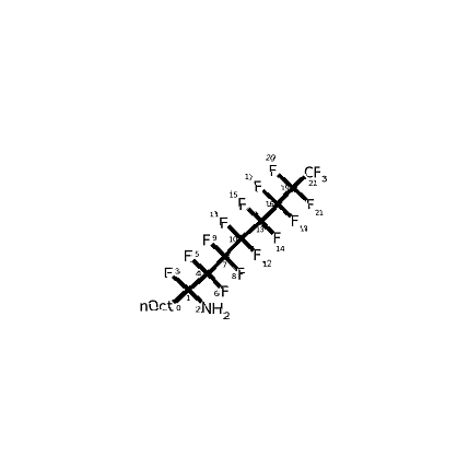 CCCCCCCCC(N)(F)C(F)(F)C(F)(F)C(F)(F)C(F)(F)C(F)(F)C(F)(F)C(F)(F)F